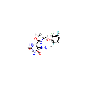 C[C@H](COc1c(F)ccc(F)c1Cl)NC(=O)c1[nH]c(=O)[nH]c(=O)c1N